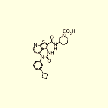 O=C(NC1CCCN(C(=O)O)C1)c1sc2nccc3c2c1NC(=O)N3c1cccc(C2CCC2)c1